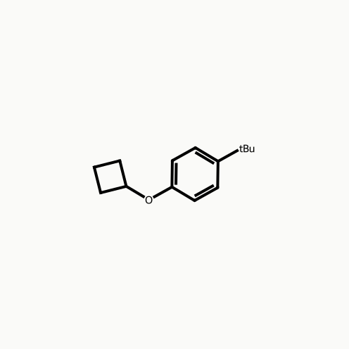 CC(C)(C)c1ccc(OC2CCC2)cc1